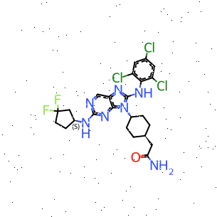 NC(=O)C[C@H]1CC[C@@H](n2c(Nc3c(Cl)cc(Cl)cc3Cl)nc3cnc(N[C@H]4CCC(F)(F)C4)nc32)CC1